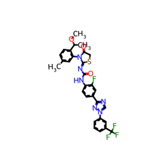 COC(C)c1ccc(C)cc1N1C(=O)CS/C1=N\C(=O)Nc1ccc(-c2ncn(-c3cccc(C(F)(F)F)c3)n2)cc1F